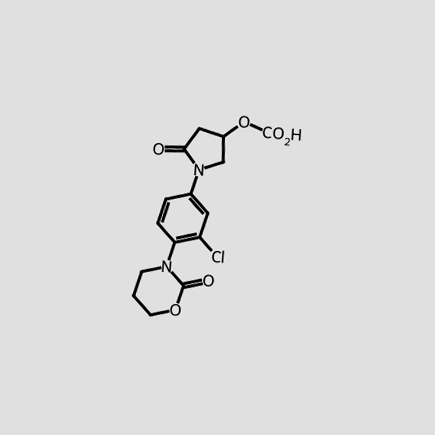 O=C(O)OC1CC(=O)N(c2ccc(N3CCCOC3=O)c(Cl)c2)C1